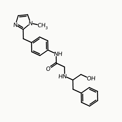 Cn1ccnc1Cc1ccc(NC(=O)CNC(CO)Cc2ccccc2)cc1